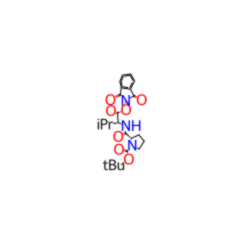 CC(C)[C@H](NC(=O)[C@H]1CCCN1C(=O)OC(C)(C)C)C(=O)ON1C(=O)c2ccccc2C1=O